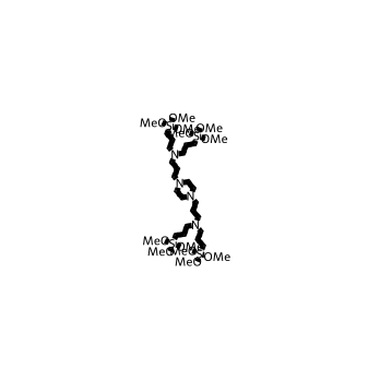 CO[Si](CCCN(CCCN1CCN(CCCN(CCC[Si](OC)(OC)OC)CCC[Si](OC)(OC)OC)CC1)CCC[Si](OC)(OC)OC)(OC)OC